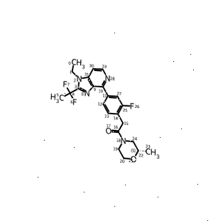 CCn1c(C(C)(F)F)nc2c(-c3ccc(CC(=O)N4CCO[C@@H](C)C4)c(F)c3)nccc21